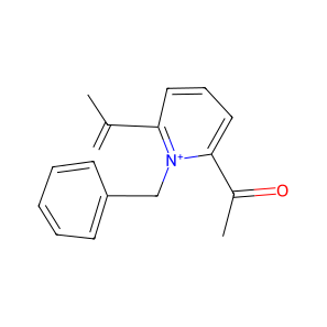 C=C(C)c1cccc(C(C)=O)[n+]1Cc1ccccc1